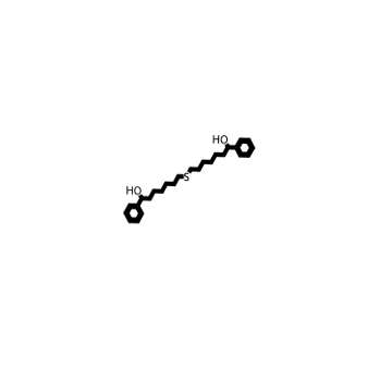 OC(CCCCCCSCCCCCCC(O)c1ccccc1)c1ccccc1